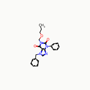 CCCOCn1c(=O)c2c(ncn2Cc2ccccc2)n(-c2ccccc2)c1=O